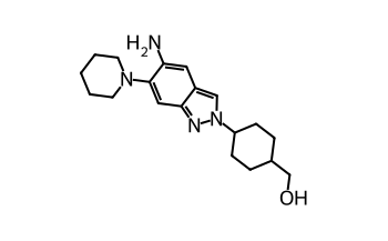 Nc1cc2cn(C3CCC(CO)CC3)nc2cc1N1CCCCC1